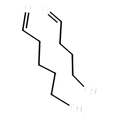 CCCCC=O.CCCCCC=O